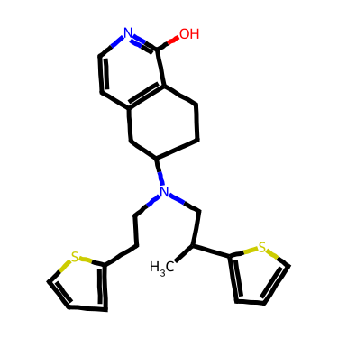 CC(CN(CCc1cccs1)C1CCc2c(ccnc2O)C1)c1cccs1